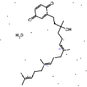 CC(C)=CCC/C(C)=C/CC/C(C)=C/CCC(C)(O)CCC1=CC(=O)C=CC1=O.O